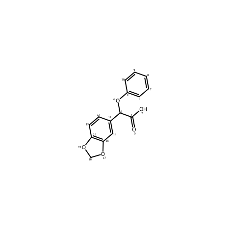 O=C(O)C(Oc1ccccc1)c1ccc2c(c1)OCO2